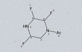 CC(=O)N1CC(F)NC(F)C1F